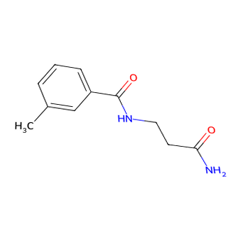 Cc1cccc(C(=O)NCCC(N)=O)c1